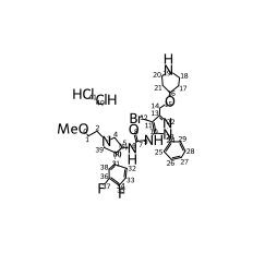 COCCN1C[C@@H](NC(=O)Nc2c(Br)c(COC3CCNCC3)nn2-c2ccccc2)[C@H](c2ccc(F)c(F)c2)C1.Cl.Cl